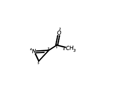 CC(=O)C1=NC1